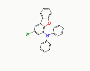 Brc1cc(N(c2ccccc2)c2ccccc2)c2oc3ccccc3c2c1